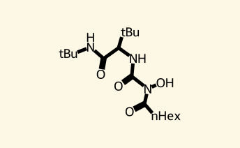 CCCCCCC(=O)N(O)C(=O)NC(C(=O)NC(C)(C)C)C(C)(C)C